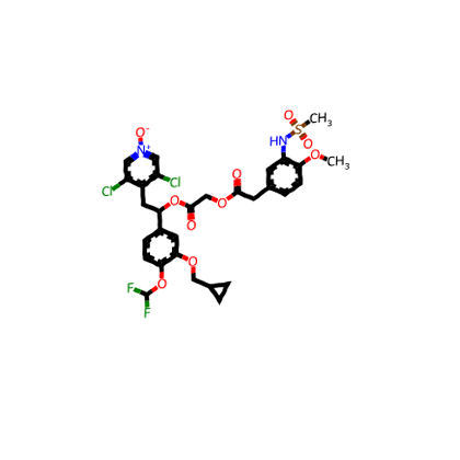 COc1ccc(CC(=O)OCC(=O)OC(Cc2c(Cl)c[n+]([O-])cc2Cl)c2ccc(OC(F)F)c(OCC3CC3)c2)cc1NS(C)(=O)=O